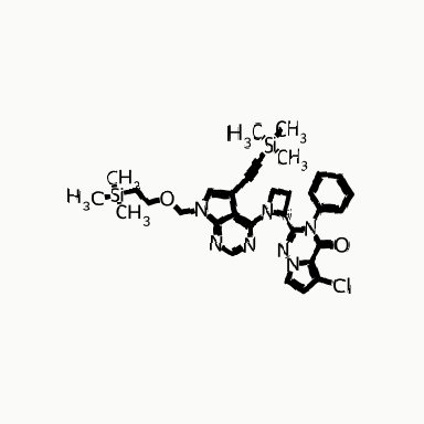 C[Si](C)(C)C#Cc1cn(COCC[Si](C)(C)C)c2ncnc(N3CC[C@H]3c3nn4ccc(Cl)c4c(=O)n3-c3ccccc3)c12